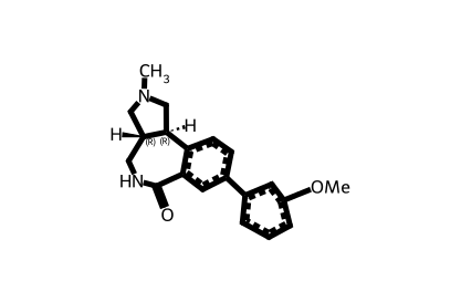 COc1cccc(-c2ccc3c(c2)C(=O)NC[C@@H]2CN(C)C[C@@H]32)c1